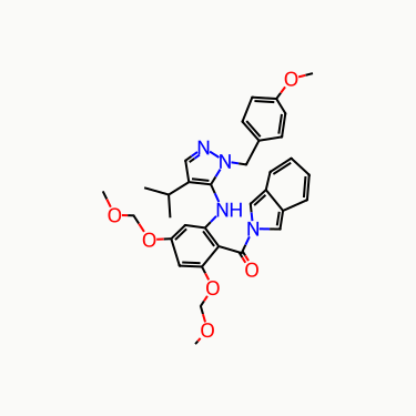 COCOc1cc(Nc2c(C(C)C)cnn2Cc2ccc(OC)cc2)c(C(=O)n2cc3ccccc3c2)c(OCOC)c1